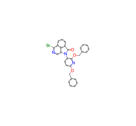 O=C1c2cccc3c(Br)ncc(c23)N1c1ccc(OCc2ccccc2)nc1OCc1ccccc1